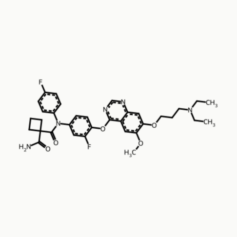 CCN(CC)CCCOc1cc2ncnc(Oc3ccc(N(C(=O)C4(C(N)=O)CCC4)c4ccc(F)cc4)cc3F)c2cc1OC